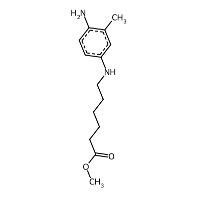 COC(=O)CCCCCNc1ccc(N)c(C)c1